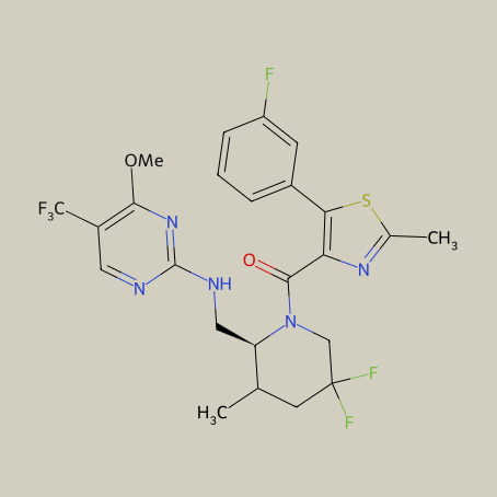 COc1nc(NC[C@@H]2C(C)CC(F)(F)CN2C(=O)c2nc(C)sc2-c2cccc(F)c2)ncc1C(F)(F)F